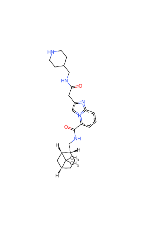 CC1(C)[C@@H]2CC[C@@H](CNC(=O)c3cccc4nc(CC(=O)NCC5CCNCC5)cn34)[C@H]1C2